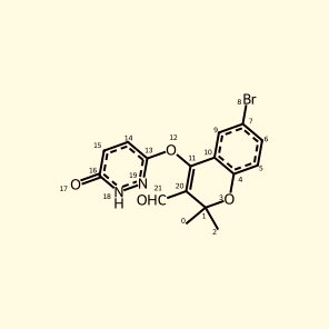 CC1(C)Oc2ccc(Br)cc2C(Oc2ccc(=O)[nH]n2)=C1C=O